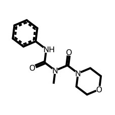 CN(C(=O)Nc1ccccc1)C(=O)N1CCOCC1